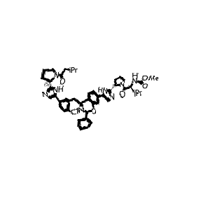 COC(=O)N[C@H](C(=O)N1CCC[C@H]1c1ncc(-c2ccc3c(c2)OC(c2ccccc2)N=C3Cc2cc(-c3cnc([C@@H]4CCCN4C(=O)CC(C)C)[nH]3)ccc2Cl)[nH]1)C(C)C